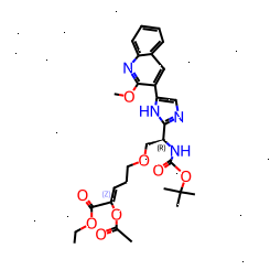 CCOC(=O)/C(=C/CCOC[C@H](NC(=O)OC(C)(C)C)c1ncc(-c2cc3ccccc3nc2OC)[nH]1)OC(C)=O